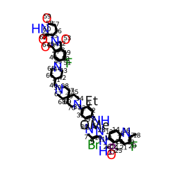 CCc1cc(Nc2ncc(Br)c(Nc3ccc4nc(C)c(F)cc4c3P(C)(C)=O)n2)c(OC)cc1N1CCC2(CCN(CC3CCN(c4cc5c(cc4F)C(=O)N(C4CCC(=O)NC4=O)C5=O)CC3)CC2)CC1